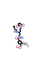 C#CCCNC(CCCN1C(=O)C=CC1=O)CCNC(=O)c1ccc(CO)c([N+](=O)[O-])c1